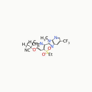 CCS(=O)(=O)c1cc(OC(C)(C)C#N)c(C)nc1-c1nc2cc(C(F)(F)F)cnc2n1C